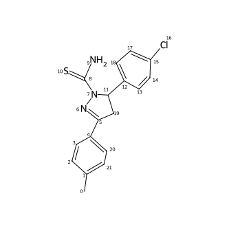 Cc1ccc(C2=NN(C(N)=S)C(c3ccc(Cl)cc3)C2)cc1